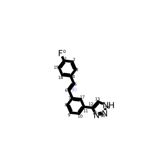 Fc1ccc(/C=C/c2cccc(-c3c[nH]nn3)c2)cc1